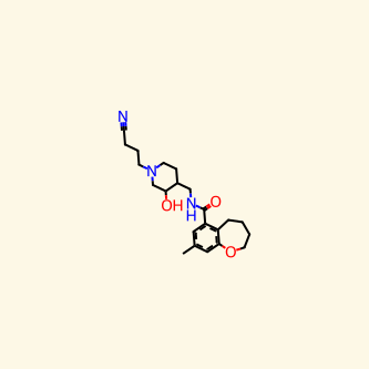 Cc1cc2c(c(C(=O)NCC3CCN(CCCC#N)CC3O)c1)CCCCO2